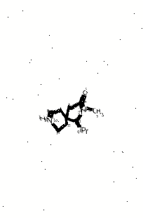 CC(C)C1N(C)C(=O)CC12CCNCC2